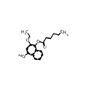 CCCCCC(=O)Oc1c(OCC)cc(O)c2ccccc12